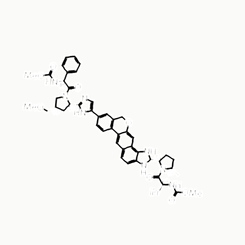 COC[C@H]1C[C@@H](c2ncc(-c3ccc4c(c3)COc3cc5c6c(ccc5cc3-4)NC([C@@H]3CC[C@H](C)N3C(=O)[C@@H](NC(=O)OC)C(C)C)N6)[nH]2)N(C(=O)[C@H](NC(=O)OC)c2ccccc2)C1